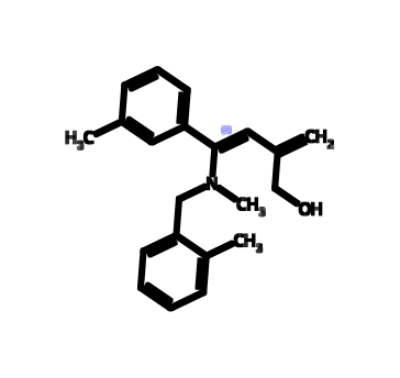 C=C(/C=C(/c1cccc(C)c1)N(C)Cc1ccccc1C)CO